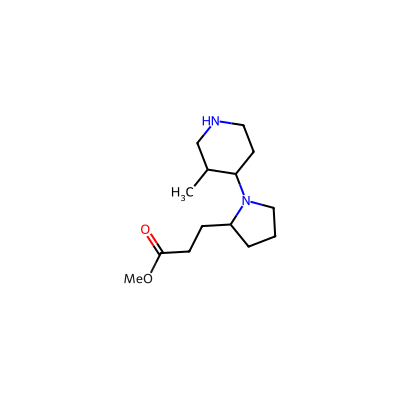 COC(=O)CCC1CCCN1C1CCNCC1C